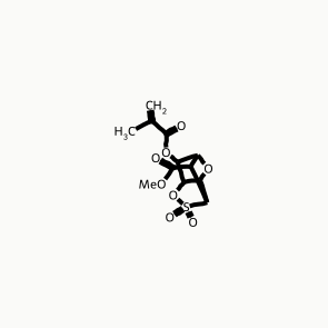 C=C(C)C(=O)OC1C2OS(=O)(=O)C3C2OC1C3C(=O)OC